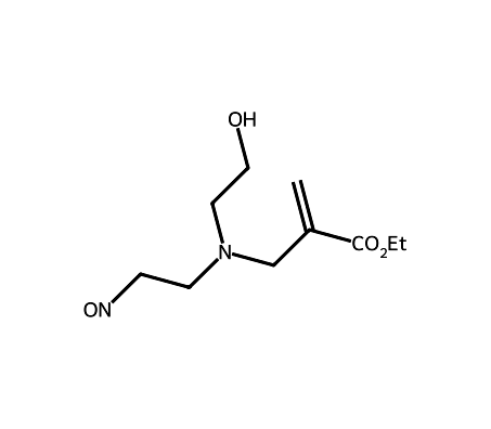 C=C(CN(CCO)CCN=O)C(=O)OCC